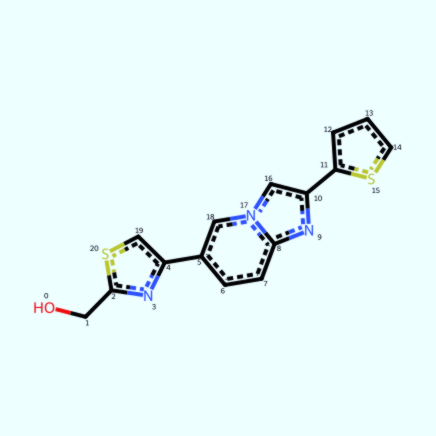 OCc1nc(-c2ccc3nc(-c4cccs4)cn3c2)cs1